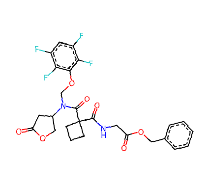 O=C(CNC(=O)C1(C(=O)N(COc2c(F)c(F)cc(F)c2F)C2COC(=O)C2)CCC1)OCc1ccccc1